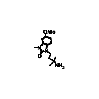 COc1ccc2c(c1)n(C)c(=O)n2CCC(C)(C)N